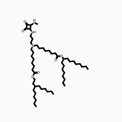 CCCCCCCCC(CCCCCCCC)OC(=O)CCCCCCCN(CCCCCCCC(=O)OCCC(CCCCCC)CCCCCC)CCCNC1C(=O)C(=O)C1NC